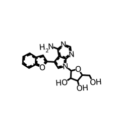 Nc1ncnc2c1c(-c1cc3ccccc3o1)cn2C1OC(CO)C(O)C1O